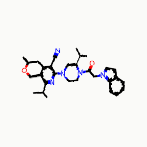 CC1Cc2c(C#N)c(N3CCN(C(=O)Cn4ccc5ccccc54)[C@H](C(C)C)C3)nc(C(C)C)c2CO1